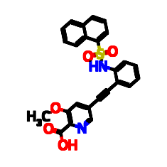 COc1cc(C#Cc2ccccc2NS(=O)(=O)c2cccc3ccccc23)cnc1C(=O)O